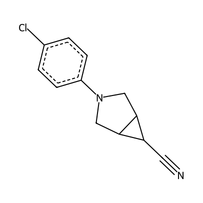 N#CC1C2CN(c3ccc(Cl)cc3)CC12